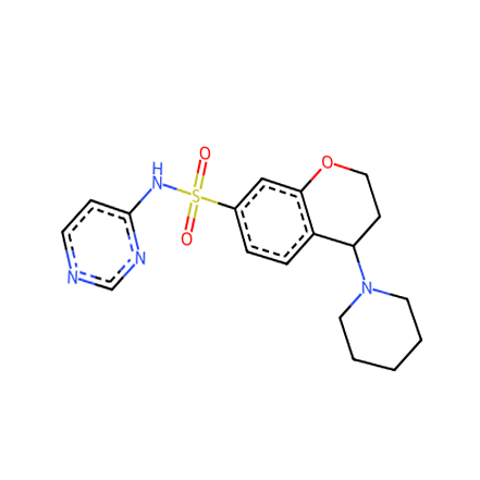 O=S(=O)(Nc1ccncn1)c1ccc2c(c1)OCCC2N1CCCCC1